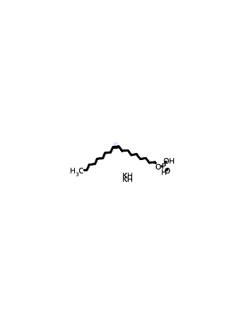 CCCCCCCC/C=C\CCCCCCCCO[PH](=O)O.[KH].[KH]